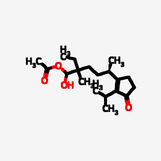 CCC(C)(CC[C@@H](C)C1=C(C(C)C)C(=O)CC1)C(O)OC(C)=O